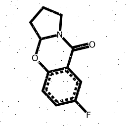 O=C1c2cc(F)ccc2OC2CCCN12